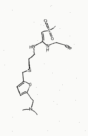 C#CCNC(=CS(C)(=O)=O)NCCSCc1ccc(CN(C)C)o1